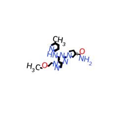 CCOCCn1ncc2nc(N3CC[C@@H](C(N)=O)C3)nc(Nc3ccc(C)cn3)c21